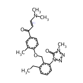 CCc1cccc(-n2nnn(C)c2=O)c1COc1ccc(C(=O)/C=C/N(C)C)cc1C